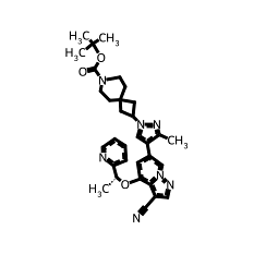 Cc1nn(C2CC3(CCN(C(=O)OC(C)(C)C)CC3)C2)cc1-c1cc(O[C@H](C)c2ccccn2)c2c(C#N)cnn2c1